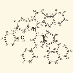 c1ccc(-c2cccc(-n3c4c(ccc5c6ccccc6oc54)c4ccc5c6ccccc6n(-c6ccc7c(c6)-c6cccc8cccc-7c68)c5c43)c2)cc1